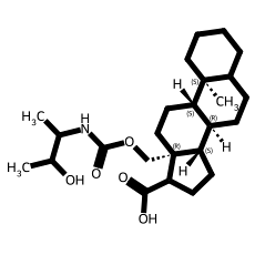 CC(O)C(C)NC(=O)OC[C@]12CC[C@H]3[C@@H](CCC4CCCC[C@@]43C)[C@@H]1CCC2C(=O)O